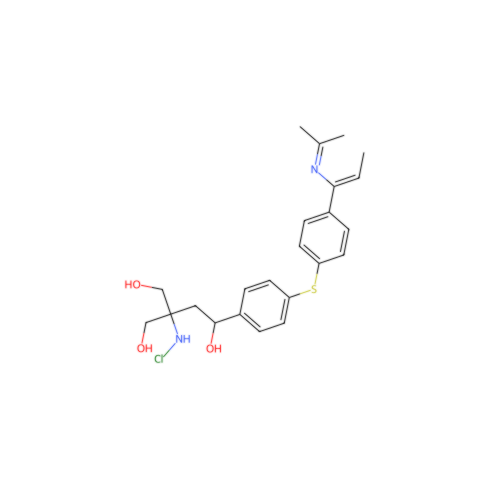 C/C=C(\N=C(C)C)c1ccc(Sc2ccc(C(O)CC(CO)(CO)NCl)cc2)cc1